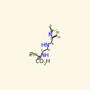 Cc1nc(CNCCN[C@H](C(=O)O)C(C)C)cs1